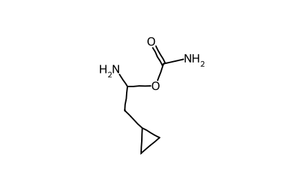 NC(=O)OC(N)CC1CC1